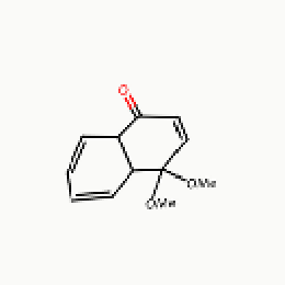 COC1(OC)C=CC(=O)C2C=CC=CC21